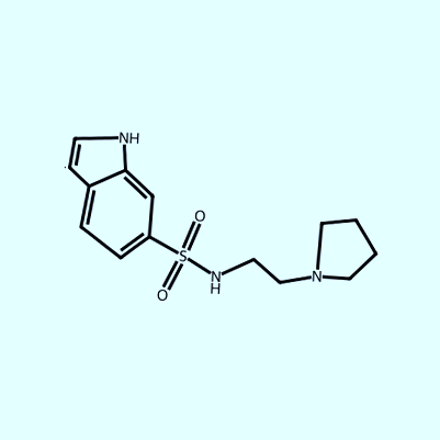 O=S(=O)(NCCN1CCCC1)c1ccc2[c]c[nH]c2c1